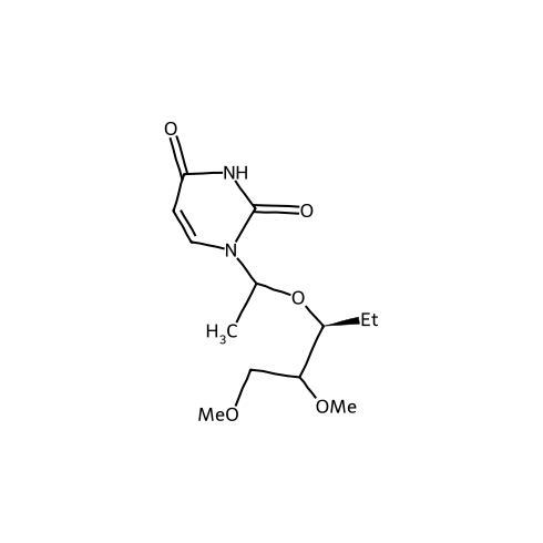 CC[C@H](OC(C)n1ccc(=O)[nH]c1=O)C(COC)OC